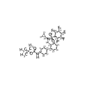 CC(C)(C)OC(=O)Nc1ccc(-c2ccccc2CN(C2CC2)S(=O)(=O)c2c(F)c(F)c(F)c(F)c2F)cc1